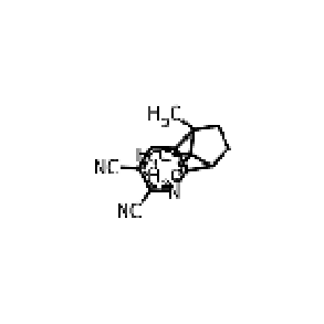 CC12CCC(c3nc(C#N)c(C#N)cc31)C2(C)C